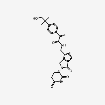 CC(C)(CO)c1ccc(C(=O)C(=O)NCc2scc3c2CN([C@H]2CCC(=O)NC2=O)C3=O)cc1